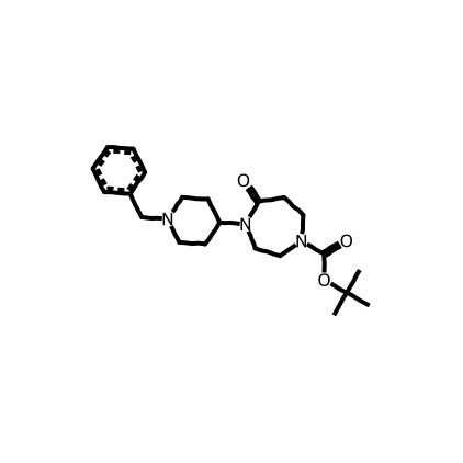 CC(C)(C)OC(=O)N1CCC(=O)N(C2CCN(Cc3ccccc3)CC2)CC1